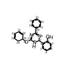 Oc1ccccc1C1N=C(c2ccccc2)N=C(OC2C=CC=CC2)N1